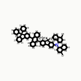 CCCCCCC1(CCCCCC)c2cc(-c3c4ccccc4c(-c4ccc5c(c4)-c4ccccc4C5(c4ccccc4)c4ccccc4)c4ccccc34)ccc2-c2ccc(N(c3ccc(C)c4ccccc34)c3ccc(C)c4ccccc34)cc21